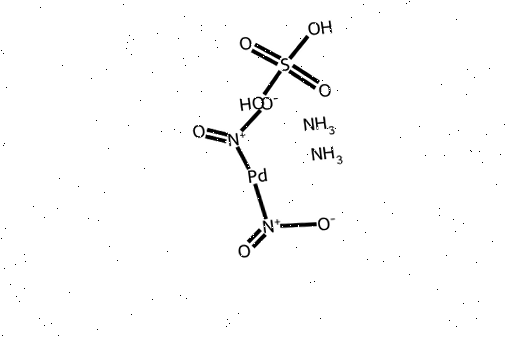 N.N.O=S(=O)(O)O.O=[N+]([O-])[Pd][N+](=O)[O-]